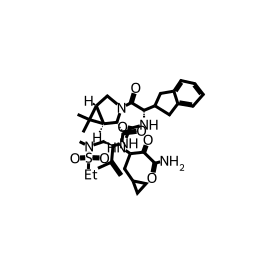 C=C(C)[C@@H](CN(C)S(=O)(=O)CC)NC(=O)N[C@H](C(=O)N1C[C@H]2[C@@H]([C@H]1C(=O)NC(CC1CC1)C(=O)C(N)=O)C2(C)C)C1Cc2ccccc2C1